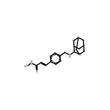 O=C(/C=C/c1ccc(CNC2C3CC4CC(C3)CC2C4)cc1)NO